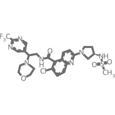 CS(=O)(=O)N[C@@H]1CCN(c2ccc3c(C(=O)NCC(c4cnc(C(F)(F)F)nc4)N4CCOCC4)c(Cl)ccc3n2)C1